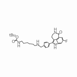 CC(C)(C)OC(=O)NCCCCCCNCc1ccc(-c2[nH]c3cc(F)cc4c3c2CCNC4=O)cc1